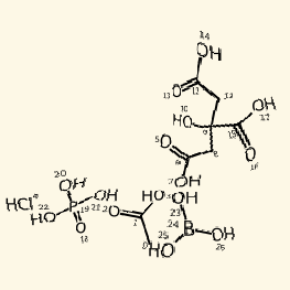 CC(=O)O.Cl.O=C(O)CC(O)(CC(=O)O)C(=O)O.O=P(O)(O)O.OB(O)O